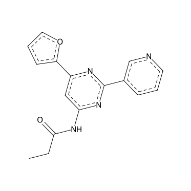 CCC(=O)Nc1cc(-c2ccco2)nc(-c2cccnc2)n1